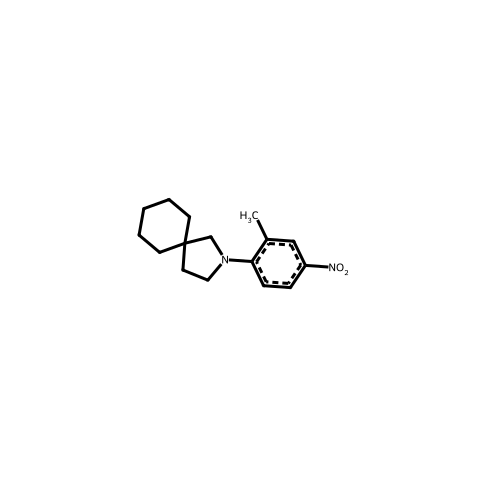 Cc1cc([N+](=O)[O-])ccc1N1CCC2(CCCCC2)C1